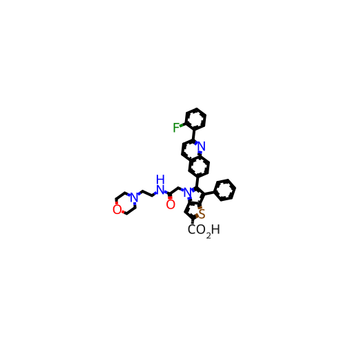 O=C(Cn1c(-c2ccc3nc(-c4ccccc4F)ccc3c2)c(-c2ccccc2)c2sc(C(=O)O)cc21)NCCN1CCOCC1